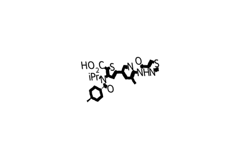 Cc1cc(-c2cc(N(C(=O)[C@H]3CC[C@H](C)CC3)C(C)C)c(C(=O)O)s2)cnc1NC(=O)c1cscn1